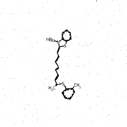 C=C(/C=C/C=C/C=C/C=C1\Sc2ccccc2N1CCCC)Sc1ccccc1C